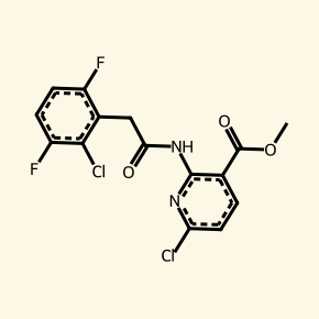 COC(=O)c1ccc(Cl)nc1NC(=O)Cc1c(F)ccc(F)c1Cl